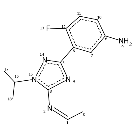 C/C=N\c1nc(-c2cc(N)ccc2F)nn1C(C)C